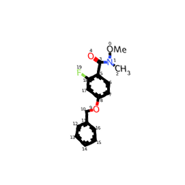 CON(C)C(=O)c1ccc(OCc2ccccc2)cc1F